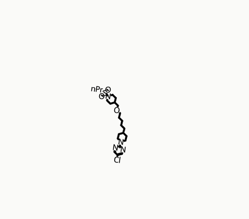 CCCS(=O)(=O)N1CCC(COCCCCCC2CCN(c3ncc(Cl)cn3)CC2)CC1